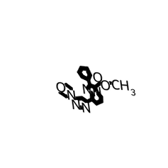 CCOC(=O)c1c(-c2ccccc2)nc2c(-c3cc(N4CCOCC4)ncn3)cccn12